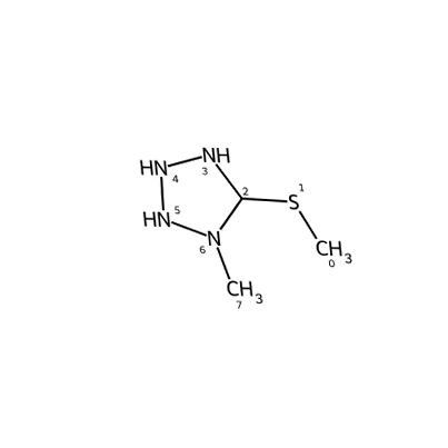 CSC1NNNN1C